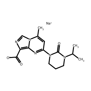 Cc1cc(N2CCCN(C(C)C)C2=O)nc2c(C(=O)[O-])ncn12.[Na+]